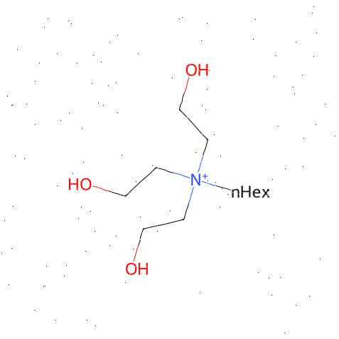 CCCCCC[N+](CCO)(CCO)CCO